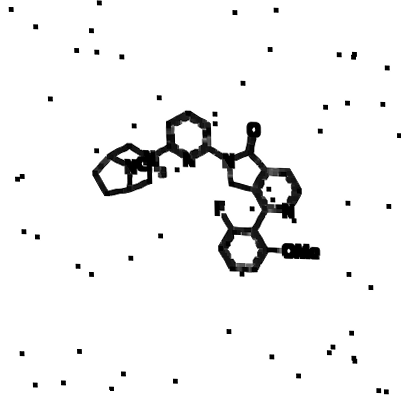 COc1cccc(F)c1-c1nccc2c1CN(c1cccc(N3CC4CCC(C3)N4C)n1)C2=O